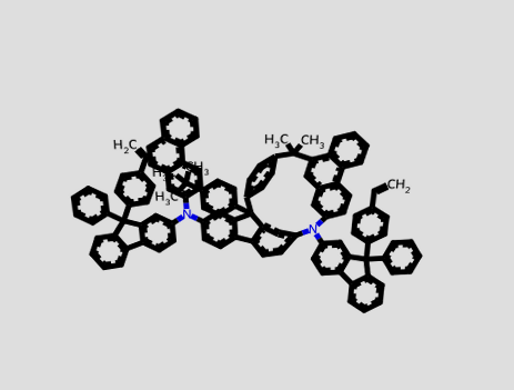 C=Cc1ccc(C2(c3ccccc3)c3ccccc3-c3ccc(N(c4ccc5c(c4)C4(c6ccc(C(C)(C)C)cc6)c6ccc(cc6)C(C)(C)c6cc7cc(ccc7c7ccccc67)N(c6ccc7c(c6)C(c6ccccc6)(c6ccc(C=C)cc6)c6ccccc6-7)c6ccc-5c4c6)c4ccc5c(ccc6ccccc65)c4)cc32)cc1